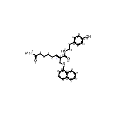 COC(=O)CCCC/C=C(\COc1cccc2ccccc12)C(=O)NCCc1ccc(O)cc1